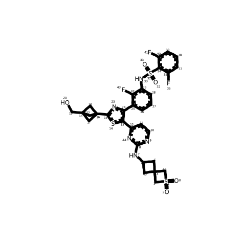 O=S1(=O)CC2(CC(Nc3nccc(-c4sc(C56CC(CO)(C5)C6)nc4-c4cccc(NS(=O)(=O)c5c(F)cccc5F)c4F)n3)C2)C1